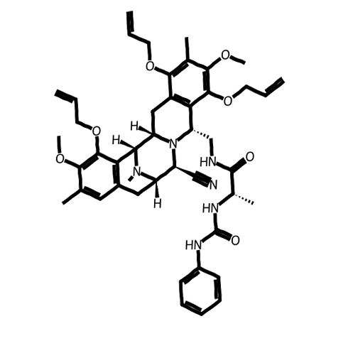 C=CCOc1c(C)c(OC)c(OCC=C)c2c1C[C@H]1[C@H]3c4c(cc(C)c(OC)c4OCC=C)C[C@@H]([C@H](C#N)N1[C@H]2CNC(=O)[C@H](C)NC(=O)Nc1ccccc1)N3C